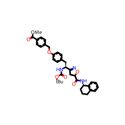 COC(=O)c1ccc(COc2ccc(C[C@H](NC(=O)OC(C)(C)C)C3=NOC(C(=O)N[C@@H]4CCCc5ccccc54)C3)cc2)cc1